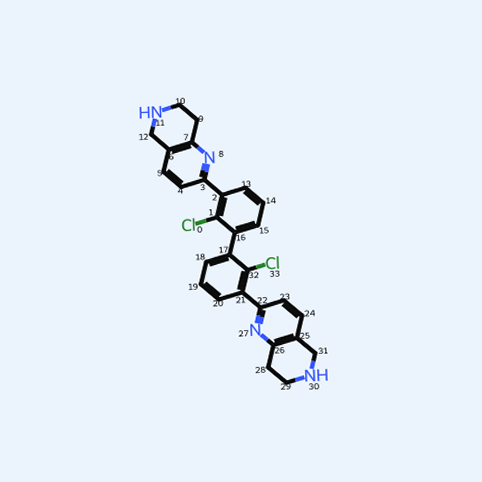 Clc1c(-c2ccc3c(n2)CCNC3)cccc1-c1cccc(-c2ccc3c(n2)CCNC3)c1Cl